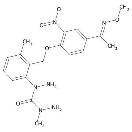 CON=C(C)c1ccc(OCc2c(C)cccc2N(N)C(=O)N(C)N)c([N+](=O)[O-])c1